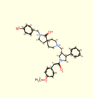 COc1ccc(CC(=O)N2CC(CN3CCC4(CC3)CCN(Cc3ccc(Br)cc3)C4=O)C(c3ccccc3)C2)cc1